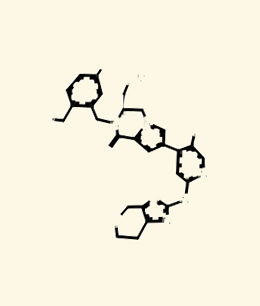 COC[C@H]1Cn2cc(-c3cc(Nc4nc5c(s4)COCC5)ncc3Cl)cc2C(=O)N1Cc1cc(F)ccc1CO